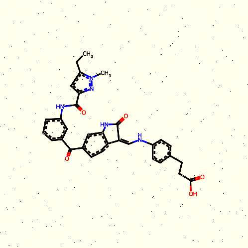 CCc1cc(C(=O)Nc2cccc(C(=O)c3ccc4c(c3)NC(=O)C4=CNc3ccc(CCC(=O)O)cc3)c2)nn1C